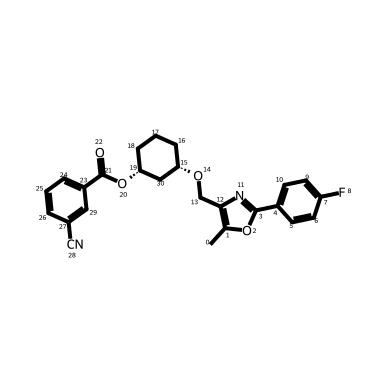 Cc1oc(-c2ccc(F)cc2)nc1CO[C@H]1CCC[C@@H](OC(=O)c2cccc(C#N)c2)C1